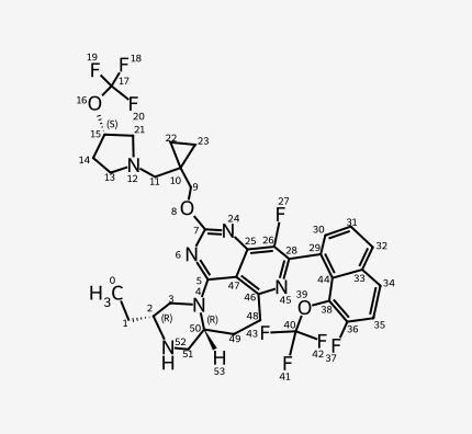 CC[C@@H]1CN2c3nc(OCC4(CN5CC[C@H](OC(F)(F)F)C5)CC4)nc4c(F)c(-c5cccc6ccc(F)c(OC(F)(F)F)c56)nc(c34)CC[C@@H]2CN1